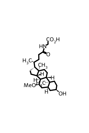 CO[C@@H]1C[C@@H]2C[C@H](O)CC[C@]2(C)[C@H]2CC[C@]3(C)[C@@H]([C@H](C)CCC(=O)NCC(=O)O)CC[C@H]3[C@H]12